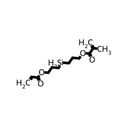 C=CC(=O)OCCC[SiH2]CCCOC(=O)C(=C)C